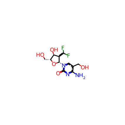 Nc1nc(=O)n([C@@H]2O[C@H](CO)[C@@H](O)C2=C(F)F)cc1CO